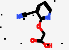 N#Cc1cccnc1OCC(=O)O